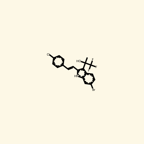 CC(O)(c1c(/C=C/c2ccc(Cl)cc2)[nH]c2cc(Br)ccc12)C(F)(F)F